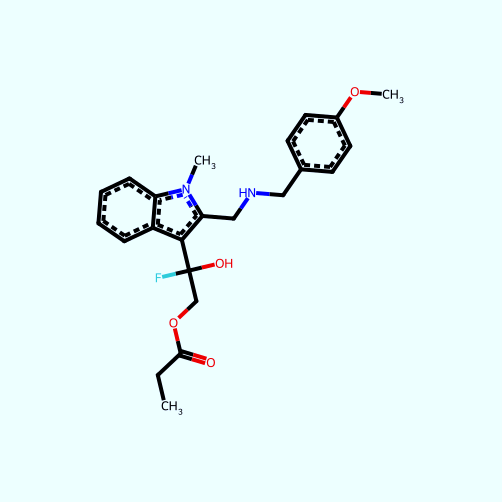 CCC(=O)OCC(O)(F)c1c(CNCc2ccc(OC)cc2)n(C)c2ccccc12